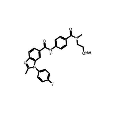 COCCN(C)C(=O)c1ccc(NC(=O)c2ccc3nc(C)n(-c4ccc(F)cc4)c3c2)cc1